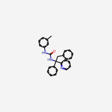 Cc1cccc(NC(=O)NC(Cc2ccccc2)(c2ccccc2)c2ccccn2)c1